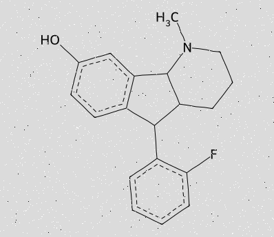 CN1CCCC2C(c3ccccc3F)c3ccc(O)cc3C21